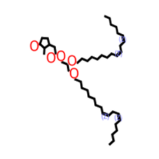 CCCCC/C=C\C/C=C\CCCCCCCCOCC(COC(=O)CC1CCC(=O)C1C)OCCCCCCCC/C=C\C/C=C\CCCCC